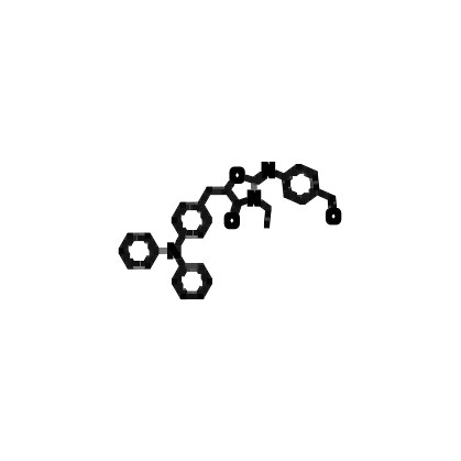 CCN1C(=O)/C(=C\c2ccc(N(c3ccccc3)c3ccccc3)cc2)O/C1=N/c1ccc(C=O)cc1